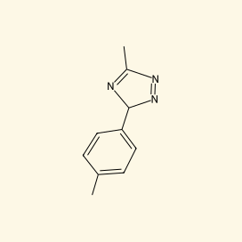 CC1=NC(c2ccc(C)cc2)N=N1